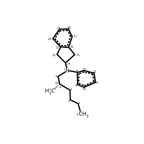 CCCC[C@H](C)CN(c1ccccc1)C1Cc2ccccc2C1